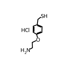 Cl.NCCOc1ccc(CS)cc1